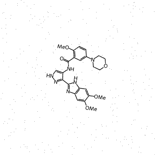 COc1cc2nc(-c3n[nH]cc3NC(=O)c3cc(N4CCOCC4)ccc3OC)[nH]c2cc1OC